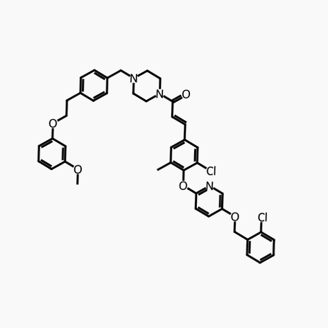 COc1cccc(OCCc2ccc(CN3CCN(C(=O)C=Cc4cc(C)c(Oc5ccc(OCc6ccccc6Cl)cn5)c(Cl)c4)CC3)cc2)c1